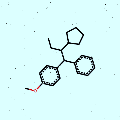 CCC(C1CCCC1)C(c1ccccc1)c1ccc(OC)cc1